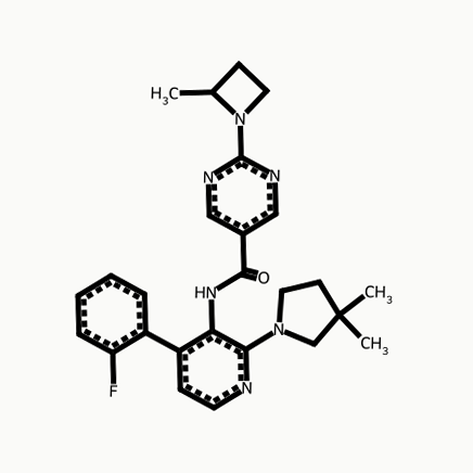 CC1CCN1c1ncc(C(=O)Nc2c(-c3ccccc3F)ccnc2N2CCC(C)(C)C2)cn1